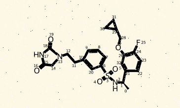 C[C@@H](NS(=O)(=O)c1cccc(CCN2CC(=O)NC2=O)c1)c1ccc(F)c(OCC2CC2)c1